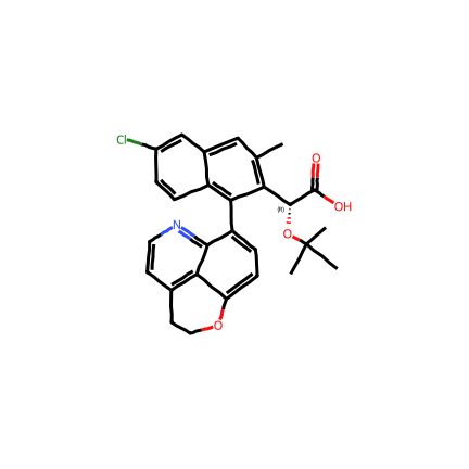 Cc1cc2cc(Cl)ccc2c(-c2ccc3c4c(ccnc24)CCO3)c1[C@@H](OC(C)(C)C)C(=O)O